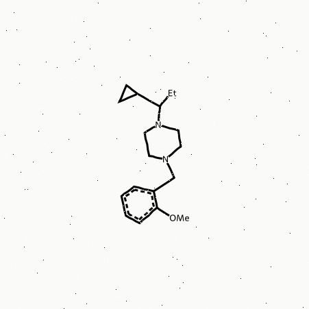 [CH2]CC(C1CC1)N1CCN(Cc2ccccc2OC)CC1